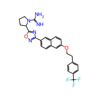 N=C(N)N1CCCC1c1nc(-c2ccc3cc(OCCc4ccc(C(F)(F)F)cc4)ccc3c2)no1